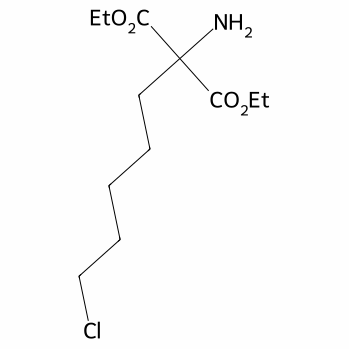 CCOC(=O)C(N)(CCCCCCl)C(=O)OCC